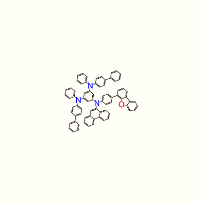 c1ccc(-c2ccc(N(c3ccccc3)c3cc(N(c4ccccc4)c4ccc(-c5ccccc5)cc4)cc(N(c4ccc(-c5cccc6c5oc5ccccc56)cc4)c4cc5ccccc5c5ccccc45)c3)cc2)cc1